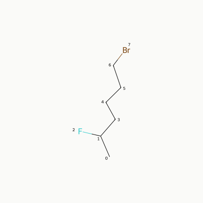 CC(F)CCCCBr